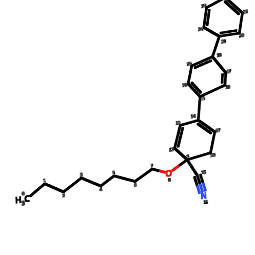 CCCCCCCCOC1(C#N)C=CC(c2ccc(-c3ccccc3)cc2)=CC1